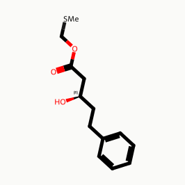 CSCOC(=O)C[C@H](O)CCc1ccccc1